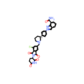 NC(=O)c1cccc2cn(-c3ccc([C@@H]4CCCN(Cc5cc(F)c6c(c5)C(=O)N(C5CCC(=O)NC5=O)C6=O)C4)cc3)nc12